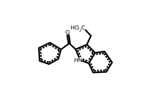 O=C(O)Cc1c(C(=O)c2ccccc2)[nH]c2ccccc12